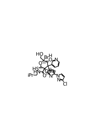 CO[C@@]1(C(=O)NCC(C)C)[C@@H](S)O[C@](Br)(CO)[C@H](O)C1(c1cccnc1)n1cc(-n2ccc(Cl)n2)nn1